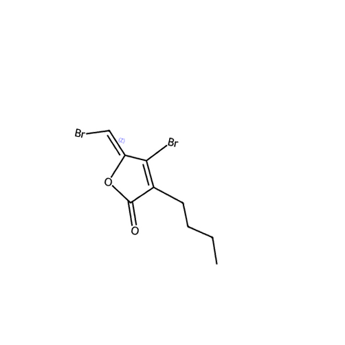 CCCCC1=C(Br)/C(=C/Br)OC1=O